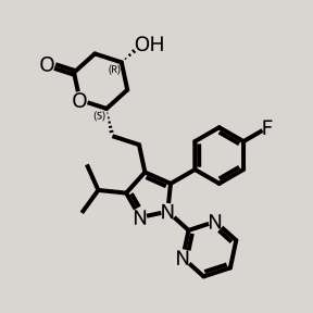 CC(C)c1nn(-c2ncccn2)c(-c2ccc(F)cc2)c1CC[C@H]1C[C@@H](O)CC(=O)O1